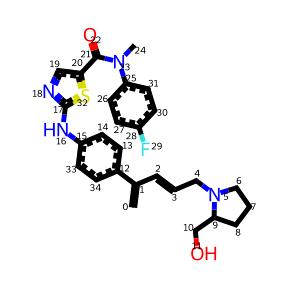 C=C(/C=C/CN1CCCC1CO)c1ccc(Nc2ncc(C(=O)N(C)c3ccc(F)cc3)s2)cc1